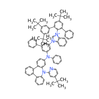 CC(C)(C)c1cc(-c2cc(C(C)(C)C)cc(-c3ccccc3)c2-[n+]2cn(-c3cc(-c4ccccc4)cc(N(c4ccccc4)c4ccc5c(c4)N(c4cc(C(C)(C)C)ccn4)c4ccccc4-c4ccccc4-5)c3)c3ccccc32)cc(C(C)(C)C)c1